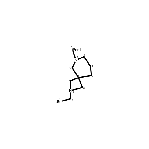 CCCC(C)N1CCCC2(CN(CC(C)(C)C)C2)C1